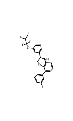 Fc1cccc(-c2cccc3c2OCC(c2cccc(OC(F)(F)C(F)F)c2)N3)c1